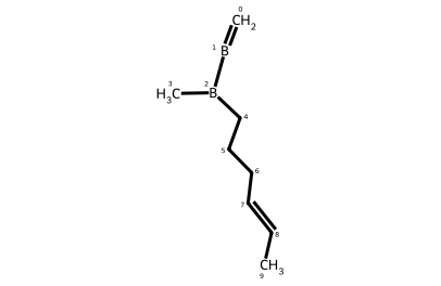 C=BB(C)CCCC=CC